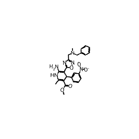 COC(=O)C1=C(C)NC(N)=C(c2nc(CN(C)Cc3ccccc3)no2)C1c1cccc([N+](=O)[O-])c1